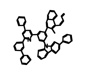 C=C/C=C\c1c(C)c(-c2cc(-c3cc(-c4ccccc4)cc(-c4cccc(-c5ccccc5)c4)n3)cc(-n3c4ccccc4c4ccc(-c5ccccc5)cc43)c2)cc2ccccc12